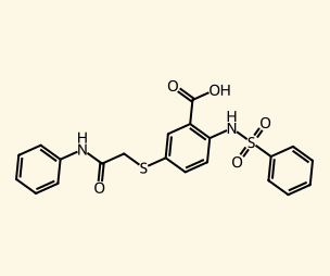 O=C(CSc1ccc(NS(=O)(=O)c2ccccc2)c(C(=O)O)c1)Nc1ccccc1